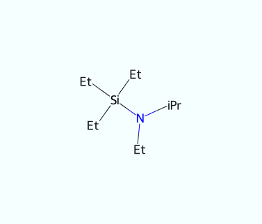 CCN(C(C)C)[Si](CC)(CC)CC